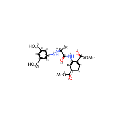 COC(=O)C1=CC[C@@H](C(=O)OC)C=C1NC(=O)/C(=N\Nc1cc(C(=O)O)cc(C(=O)O)c1)C(C)=O